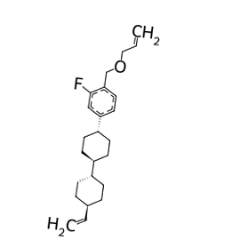 C=CCOCc1ccc([C@H]2CC[C@H]([C@H]3CC[C@H](C=C)CC3)CC2)cc1F